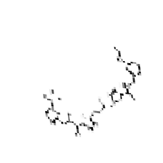 CCOc1cccc(CNC(=O)c2cn(CC(F)CCc3nnc(C(=O)NCc4cc(C(F)(F)F)ccn4)s3)nn2)c1